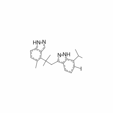 Cc1ccc2[nH]ncc2c1C(C)(C)Cc1n[nH]c2c(C(C)C)c(I)ccc12